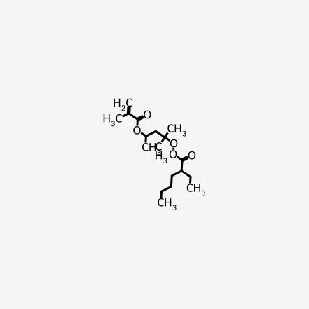 C=C(C)C(=O)OC(C)CC(C)(C)OOC(=O)C(CC)CCCC